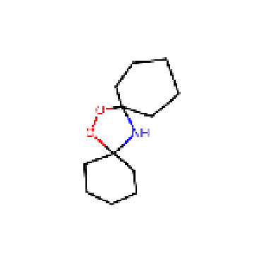 C1CCC2(CC1)NC1(CCCCC1)OO2